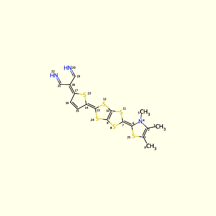 CC1=C(C)N(C)C(=C2SC3=C(S2)SC(=c2ccc(=C(C=N)C=N)s2)S3)S1